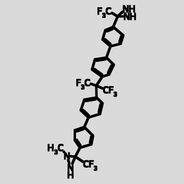 CN1NC1(c1ccc(-c2ccc(C(c3ccc(-c4ccc(C5(C(F)(F)F)NN5)cc4)cc3)(C(F)(F)F)C(F)(F)F)cc2)cc1)C(F)(F)F